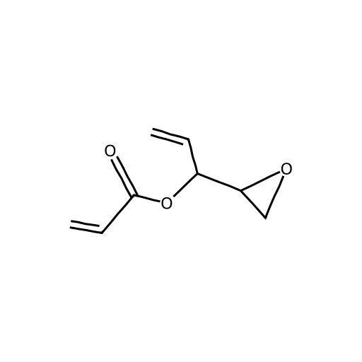 C=CC(=O)OC(C=C)C1CO1